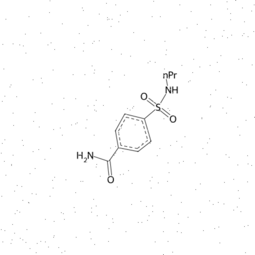 CCCNS(=O)(=O)c1ccc(C(N)=O)cc1